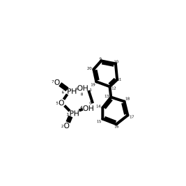 CC.O=[PH](O)O[PH](=O)O.c1ccc(-c2ccccc2)cc1